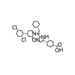 O=C(O)c1ccc(-c2cnc([C@H](Cc3ccccc3)n3ccc(-c4cc(Cl)ccc4Cl)cc3=O)[nH]2)cc1